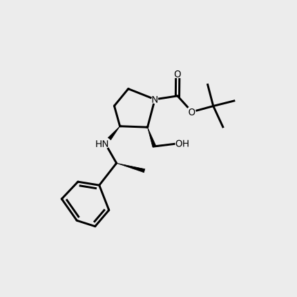 C[C@H](N[C@H]1CCN(C(=O)OC(C)(C)C)[C@H]1CO)c1ccccc1